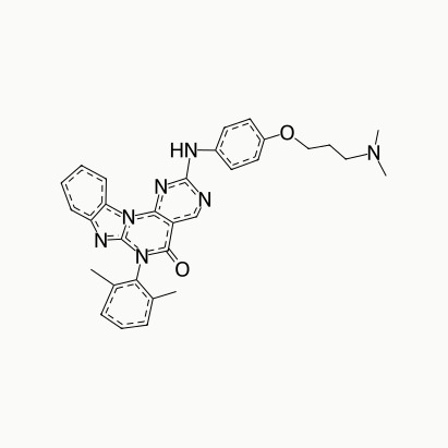 Cc1cccc(C)c1-n1c(=O)c2cnc(Nc3ccc(OCCCN(C)C)cc3)nc2n2c3ccccc3nc12